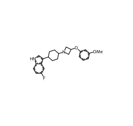 COc1cccc(OC2CN(C3CCC(c4c[nH]c5ccc(F)cc45)CC3)C2)c1